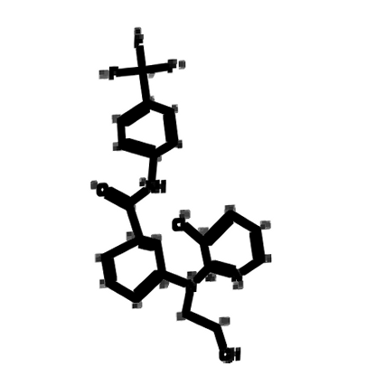 O=C(Nc1ccc(C(F)(F)F)cc1)c1cccc(N(CCO)c2ncccc2Cl)c1